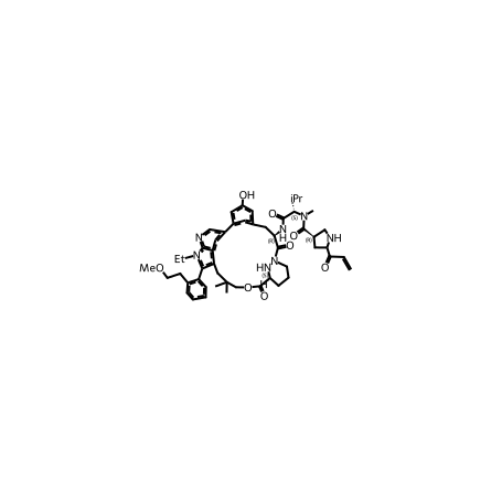 C=CC(=O)C1C[C@@H](C(=O)N(C)[C@H](C(=O)N[C@@H]2Cc3cc(O)cc(c3)-c3cnc4c(c3)c(c(-c3ccccc3CCOC)n4CC)CC(C)(C)COC(=O)[C@@H]3CCCN(N3)C2=O)C(C)C)CN1